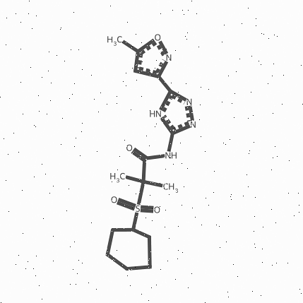 Cc1cc(-c2nnc(NC(=O)C(C)(C)S(=O)(=O)C3CCCCC3)[nH]2)no1